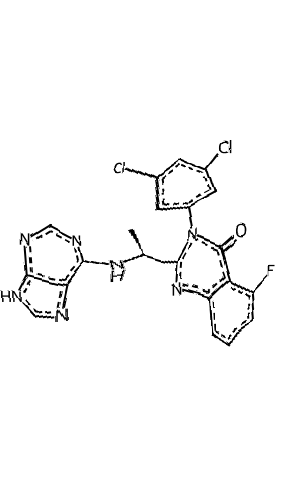 C[C@H](Nc1ncnc2[nH]cnc12)c1nc2cccc(F)c2c(=O)n1-c1cc(Cl)cc(Cl)c1